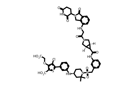 CC1(C)C[C@@H](Nc2cccc(-c3sc(C(=O)O)c(OCC(=O)O)c3Cl)c2)CCN1S(=O)(=O)Cc1cccc(NC(=O)C2[C@H]3CN(C(=O)CNc4cccc5c4CN(C4CCC(=O)NC4=O)C5=O)C[C@@H]23)c1